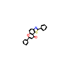 O=c1cc(-c2ccccc2)oc2ccc3nc(-c4ccccc4)sc3c12